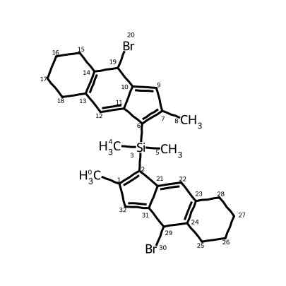 CC1=C([Si](C)(C)C2=C(C)C=C3C2=CC2=C(CCCC2)C3Br)C2=CC3=C(CCCC3)C(Br)C2=C1